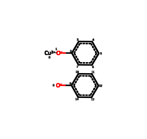 [Cu+2].[O-]c1ccccc1.[O-]c1ccccc1